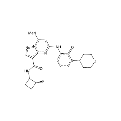 CNc1cc(Nc2cccn(C3CCOCC3)c2=O)nc2c(C(=O)NC3CC[C@@H]3F)cnn12